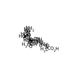 CC(=O)C(=O)O.CC(C(=O)O)C(=O)SCCNC(=O)CCNC(=O)[C@H](O)C(C)(C)COP(=O)(O)OP(=O)(O)OC[C@H]1O[C@@H](n2cnc3c(N)ncnc32)[C@H](O)[C@@H]1OP(=O)(O)O